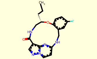 CCC[C@H]1CNC(=O)c2cnn3ccc(nc23)NCc2cc(F)ccc2O1